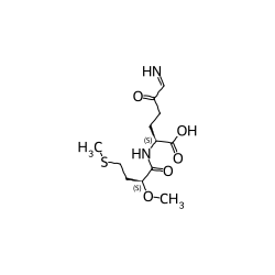 CO[C@@H](CCSC)C(=O)N[C@@H](CCC(=O)C=N)C(=O)O